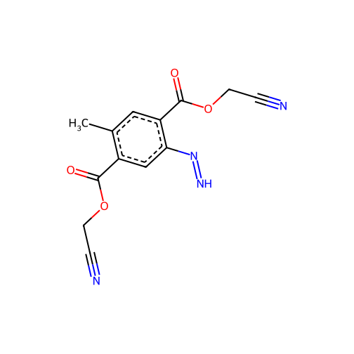 Cc1cc(C(=O)OCC#N)c(N=N)cc1C(=O)OCC#N